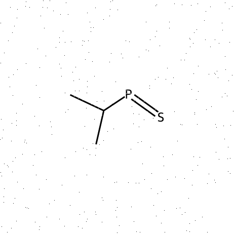 CC(C)P=S